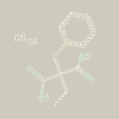 CCC(Cc1ccccc1)(C(=O)O)C(=O)O.[KH].[LiH]